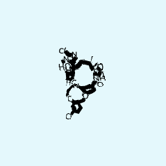 C[C@@H]1[C@@H](C)C/C=C/[C@@](O)(c2cnc(Cl)n2C)[C@@H]2CC[C@H]2CN2CCCCc3cc(Cl)ccc3COc3ccc(cc32)C(=O)NS1(=O)=O